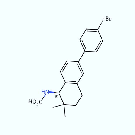 CCCCc1ccc(-c2ccc3c(c2)CCC(C)(C)[C@H]3NC(=O)O)cc1